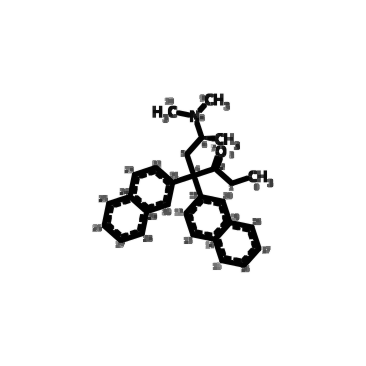 CCC(=O)C(C[C@H](C)N(C)C)(c1ccc2ccccc2c1)c1ccc2ccccc2c1